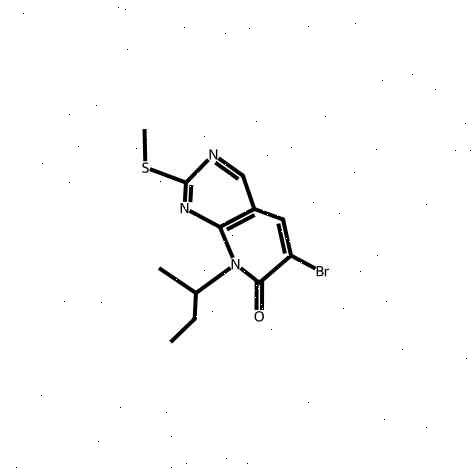 CCC(C)n1c(=O)c(Br)cc2cnc(SC)nc21